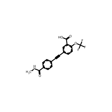 CNC(=O)c1ccc(C#Cc2ccc(OC(F)(F)F)c(C(=O)O)c2)cc1